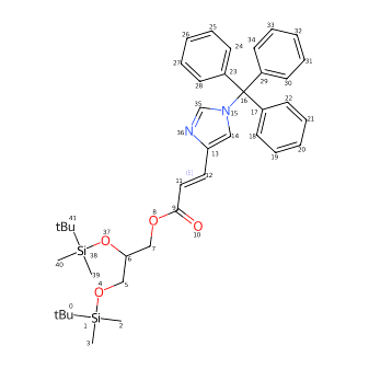 CC(C)(C)[Si](C)(C)OCC(COC(=O)/C=C/c1cn(C(c2ccccc2)(c2ccccc2)c2ccccc2)cn1)O[Si](C)(C)C(C)(C)C